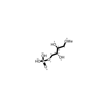 COC[C@H](O)[C@H](O)COP(=O)(O)O